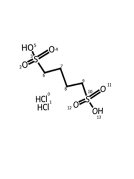 Cl.Cl.O=S(=O)(O)CCCCS(=O)(=O)O